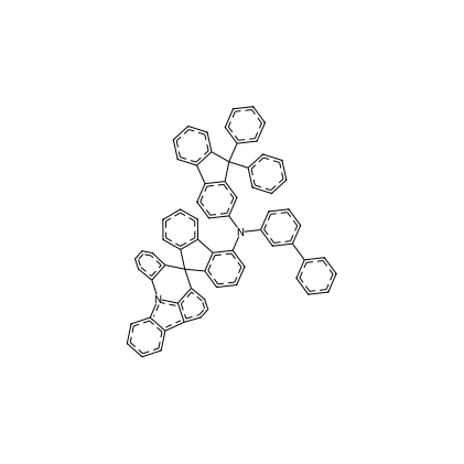 c1ccc(-c2cccc(N(c3ccc4c(c3)C(c3ccccc3)(c3ccccc3)c3ccccc3-4)c3cccc4c3-c3ccccc3C43c4ccccc4-n4c5ccccc5c5cccc3c54)c2)cc1